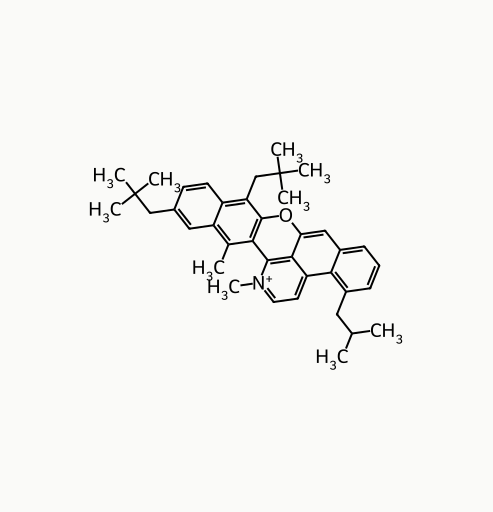 Cc1c2c(c(CC(C)(C)C)c3ccc(CC(C)(C)C)cc13)Oc1cc3cccc(CC(C)C)c3c3cc[n+](C)c-2c13